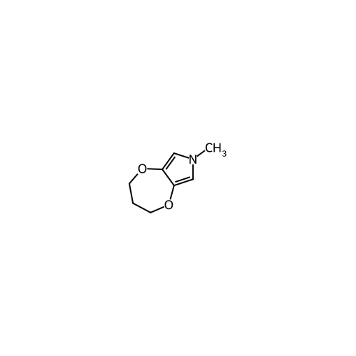 Cn1cc2c(c1)OCCCO2